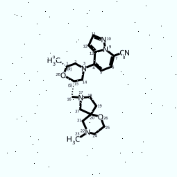 C[C@@H]1CN(c2ccc(C#N)n3nccc23)C[C@H](CN2CCC3(CN(C)CCO3)C2)O1